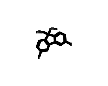 CCCCCC[Si]1(CCCCCC)c2ccc(I)cc2-c2cc(I)ccc21